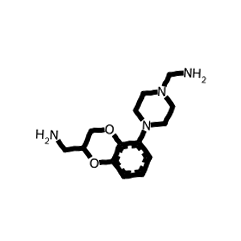 NCC1COc2c(cccc2N2CCN(CN)CC2)O1